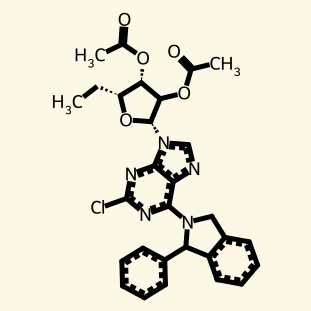 CC[C@H]1O[C@@H](n2cnc3c(N4Cc5ccccc5C4c4ccccc4)nc(Cl)nc32)C(OC(C)=O)[C@H]1OC(C)=O